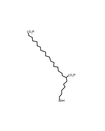 CCCCCCCCCCCCCCCCC(CCCCCCCCCCCCCCCCCC(=O)O)C(=O)O